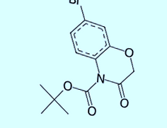 CC(C)(C)OC(=O)N1C(=O)COc2cc(Br)ccc21